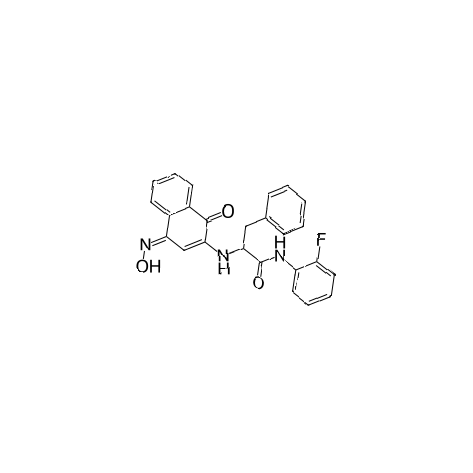 O=C1C(NC(Cc2ccccc2)C(=O)Nc2ccccc2F)=CC(=NO)c2ccccc21